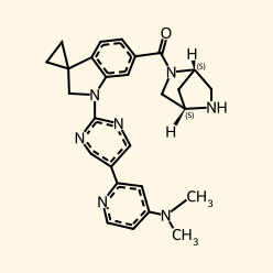 CN(C)c1ccnc(-c2cnc(N3CC4(CC4)c4ccc(C(=O)N5C[C@@H]6C[C@H]5CN6)cc43)nc2)c1